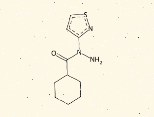 NN(C(=O)C1CCCCC1)c1ccsn1